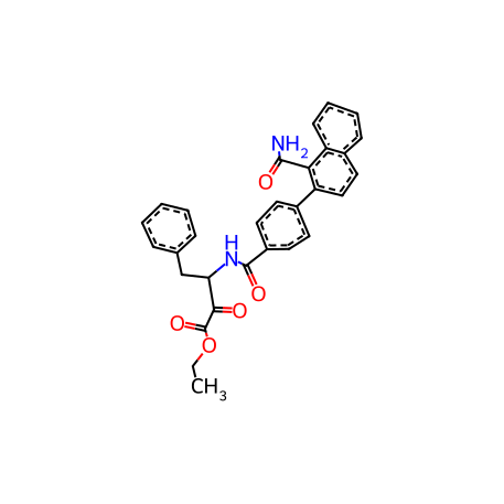 CCOC(=O)C(=O)C(Cc1ccccc1)NC(=O)c1ccc(-c2ccc3ccccc3c2C(N)=O)cc1